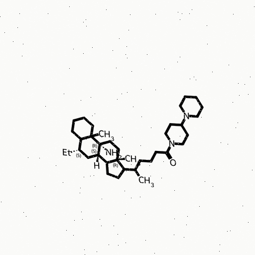 CC[C@H]1C[C@H]2C3CCC(C(C)CCCC(=O)N4CCC(N5CCCCC5)CC4)[C@@]3(C)CC[C@]2(N)C2(C)CCCCC12